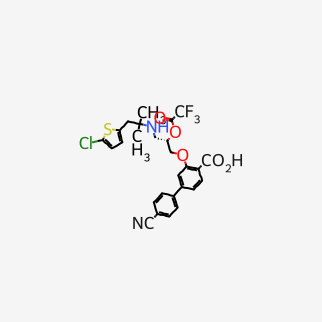 CC(C)(Cc1ccc(Cl)s1)NC[C@@H](COc1cc(-c2ccc(C#N)cc2)ccc1C(=O)O)OC(=O)C(F)(F)F